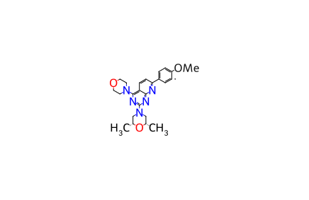 COc1[c]cc(-c2ccc3c(N4CCOCC4)nc(N4C[C@@H](C)O[C@@H](C)C4)nc3n2)cc1